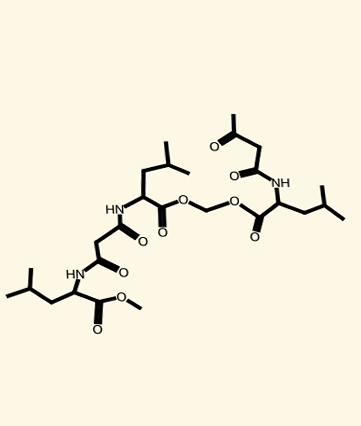 COC(=O)C(CC(C)C)NC(=O)CC(=O)NC(CC(C)C)C(=O)OCOC(=O)C(CC(C)C)NC(=O)CC(C)=O